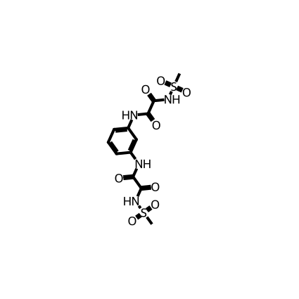 CS(=O)(=O)NC(=O)C(=O)Nc1cccc(NC(=O)C(=O)NS(C)(=O)=O)c1